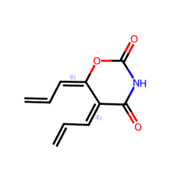 C=C/C=c1/oc(=O)[nH]c(=O)/c1=C/C=C